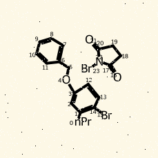 CCCc1cc(OCc2ccccc2)ccc1Br.O=C1CCC(=O)N1Br